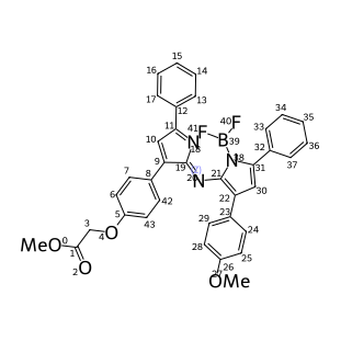 COC(=O)COc1ccc(C2=CC(c3ccccc3)=N/C2=N\c2c(-c3ccc(OC)cc3)cc(-c3ccccc3)n2B(F)F)cc1